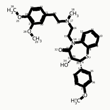 COc1ccc([C@H]2Sc3ccccc3N(CCN(C)CCc3ccc(OC)c(OC)c3)C(=O)[C@H]2O)cc1